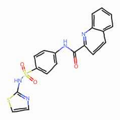 O=C(Nc1ccc(S(=O)(=O)Nc2nccs2)cc1)c1ccc2ccccc2n1